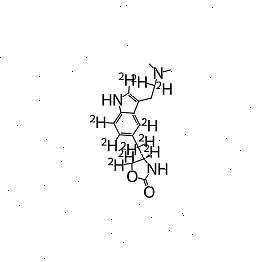 [2H]c1[nH]c2c([2H])c([2H])c(C([2H])([2H])[C@]3([2H])NC(=O)OC3([2H])[2H])c([2H])c2c1CC([2H])([2H])N(C)C